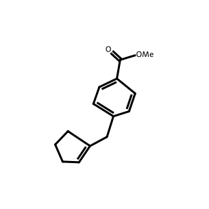 COC(=O)c1ccc(CC2=CCCC2)cc1